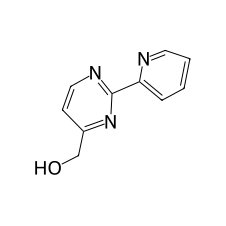 OCc1ccnc(-c2ccccn2)n1